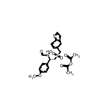 CC(=O)OC(C)=O.COc1ccc([C@@H](CS(=O)(=O)Cc2ccc3sccc3c2)N(O)C=O)cc1